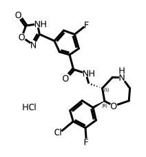 Cl.O=C(NC[C@@H]1CNCCO[C@H]1c1ccc(Cl)c(F)c1)c1cc(F)cc(-c2noc(=O)[nH]2)c1